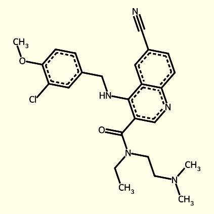 CCN(CCN(C)C)C(=O)c1cnc2ccc(C#N)cc2c1NCc1ccc(OC)c(Cl)c1